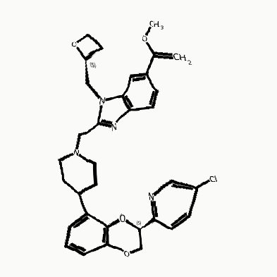 C=C(OC)c1ccc2nc(CN3CCC(c4cccc5c4O[C@@H](c4ccc(Cl)cn4)CO5)CC3)n(C[C@@H]3CCO3)c2c1